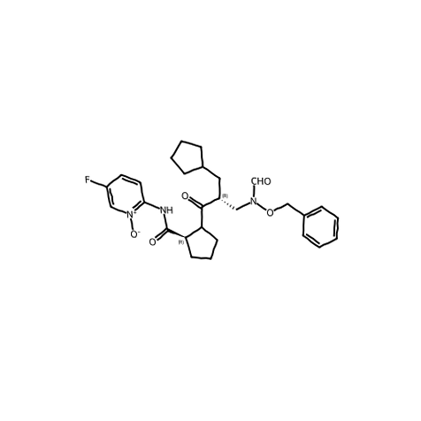 O=CN(C[C@@H](CC1CCCC1)C(=O)C1CCC[C@H]1C(=O)Nc1ccc(F)c[n+]1[O-])OCc1ccccc1